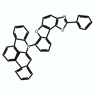 c1ccc(-c2nc3ccc4oc5c(N(c6ccc7ccccc7c6)c6ccccc6-c6ccccc6)cccc5c4c3o2)cc1